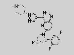 Fc1ccc(F)c([C@H]2C[C@H](F)CN2c2ccc3ncnc(-c4cnn(C5CCNCC5)c4)c3n2)c1